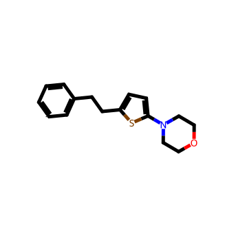 [c]1cccc(CCc2ccc(N3CCOCC3)s2)c1